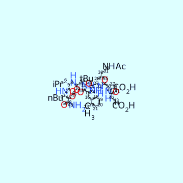 CCCC[C@H](NC(=O)[C@H](CC(C)C)NC(=O)[C@@H](NC(=O)[C@H](Cc1ccccc1C)NC(=O)[C@H](CCCCNC(C)=O)NC(=O)[C@H](CC(=O)O)NC(=O)CCC(=O)O)C(C)(C)C)C(=O)C(N)=O